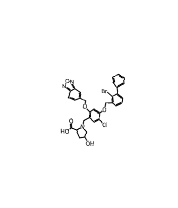 O=C(O)C1CC(O)CN1Cc1cc(Cl)c(OCc2cccc(-c3ccccc3)c2Br)cc1OCc1ccc2nonc2c1